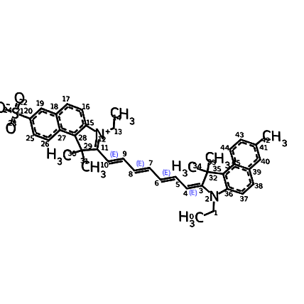 CCN1/C(=C/C=C/C=C/C=C/C2=[N+](CC)c3ccc4cc(S(=O)(=O)[O-])ccc4c3C2(C)C)C(C)(C)c2c1ccc1cc(C)ccc21